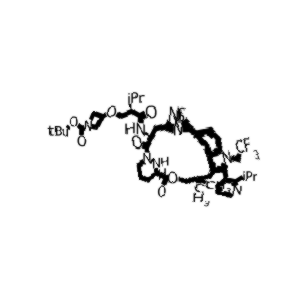 CC(C)c1ncccc1-c1c2c3cc(ccc3n1CC(F)(F)F)-c1nc(ns1)C[C@H](NC(=O)[C@@H](COC1CN(C(=O)OC(C)(C)C)C1)C(C)C)C(=O)N1CCC[C@H](N1)C(=O)OCC(C)(C)C2